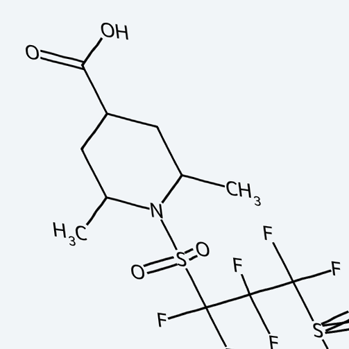 CC1CC(C(=O)O)CC(C)N1S(=O)(=O)C(F)(F)C(F)(F)C(F)(F)S(=O)(=O)O